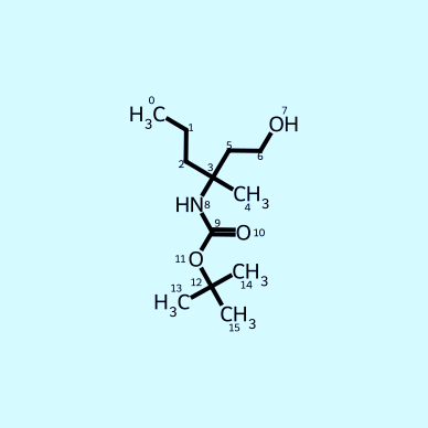 CCCC(C)(CCO)NC(=O)OC(C)(C)C